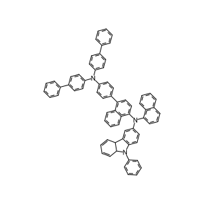 C1=CC2c3cc(N(c4cccc5ccccc45)c4ccc(-c5ccc(N(c6ccc(-c7ccccc7)cc6)c6ccc(-c7ccccc7)cc6)cc5)c5ccccc45)ccc3N(c3ccccc3)C2C=C1